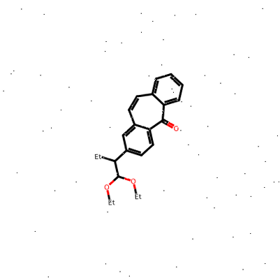 CCOC(OCC)C(CC)c1ccc2c(=O)c3ccccc3ccc2c1